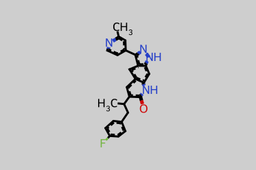 Cc1cc(-c2n[nH]c3cc4[nH]c(=O)c(C(C)Cc5ccc(F)cc5)cc4cc23)ccn1